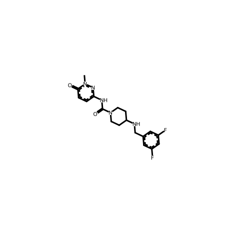 Cn1nc(NC(=O)N2CCC(NCc3cc(F)cc(F)c3)CC2)ccc1=O